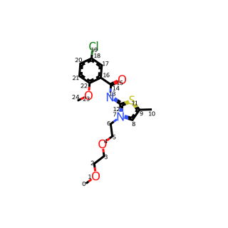 COCCOCCn1cc(C)sc1=NC(=O)c1cc(Cl)ccc1OC